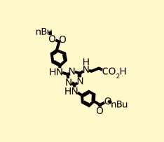 CCCCOC(=O)c1ccc(Nc2nc(NCCC(=O)O)nc(Nc3ccc(C(=O)OCCCC)cc3)n2)cc1